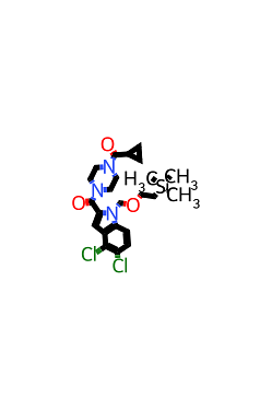 C[Si](C)(C)CCOCn1c(C(=O)N2CCN(C(=O)C3CC3)CC2)cc2c(Cl)c(Cl)ccc21